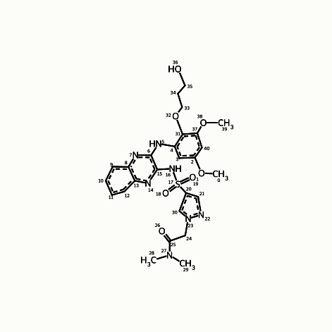 COc1cc(Nc2nc3ccccc3nc2NS(=O)(=O)c2cnn(CC(=O)N(C)C)c2)c(OCCCO)c(OC)c1